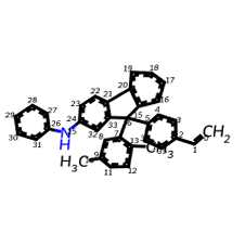 C=Cc1ccc(C2(c3cc(C)ccc3C)c3ccccc3-c3ccc(Nc4ccccc4)cc32)cc1